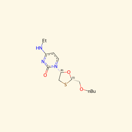 CCCCOC[C@H]1O[C@@H](n2ccc(NCC)nc2=O)CS1